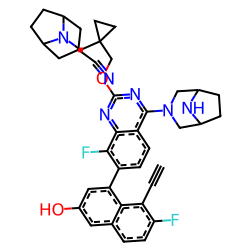 C#Cc1c(F)ccc2cc(O)cc(-c3ccc4c(N5CC6CCC(C5)N6)nc(OCC5(CN6C7CCC6CC(C#N)C7)CC5)nc4c3F)c12